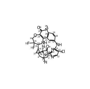 CN1C[C@@H]2CC[C@H](C1=O)N2c1ncc(Cl)c(Nc2ccc3c(c2)c2c(c(=O)n3C)OCC(F)(F)[C@H](C3CC3)N2)n1